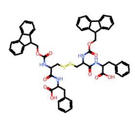 O=C(NC(CSSCC(NC(=O)OCC1c2ccccc2-c2ccccc21)C(=O)NC(Cc1ccccc1)C(=O)O)C(=O)NC(Cc1ccccc1)C(=O)O)OCC1c2ccccc2-c2ccccc21